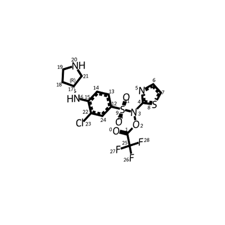 O=C(ON(c1nccs1)S(=O)(=O)c1ccc(N[C@@H]2CCNC2)c(Cl)c1)C(F)(F)F